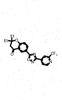 CCC1(CC)CC(=O)c2cc(-c3nc(-c4ccnc(C(F)(F)F)c4)no3)ccc2O1